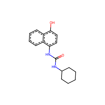 O=C(Nc1ccc(O)c2ccccc12)NC1CCCCC1